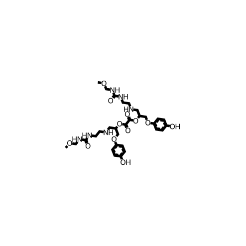 COCNC(=O)NCCNCC(COc1ccc(O)cc1)OC(=O)C(=O)OC(CNCCNC(=O)NCOC)COc1ccc(O)cc1